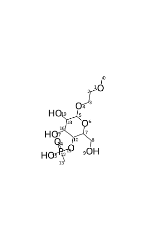 COCCOC1OC(CO)C(OP(C)(=O)O)C(O)C1O